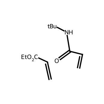 C=CC(=O)NC(C)(C)C.C=CC(=O)OCC